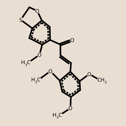 COc1cc(OC)c(C=CC(=O)c2cc3c(cc2OC)SCO3)c(OC)c1